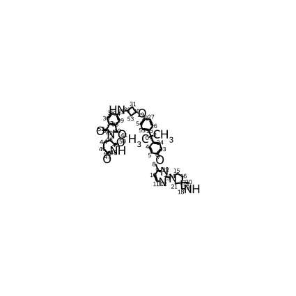 CC(C)(c1ccc(OCc2ccnc(N3CCC4(CNC4)C3)n2)cc1)c1ccc(O[C@H]2C[C@H](Nc3ccc4c(c3)C(=O)N(C3CCC(=O)NC3=O)C4=O)C2)cc1